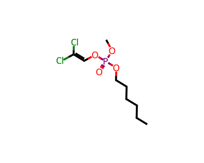 CCCCCCOP(=O)(OC)OC=C(Cl)Cl